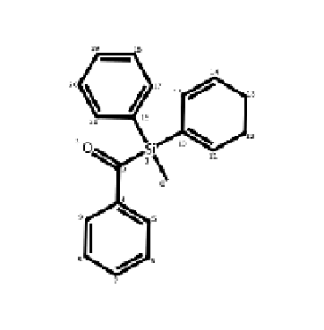 C[Si](C(=O)c1ccccc1)(C1=CCCC=C1)c1ccccc1